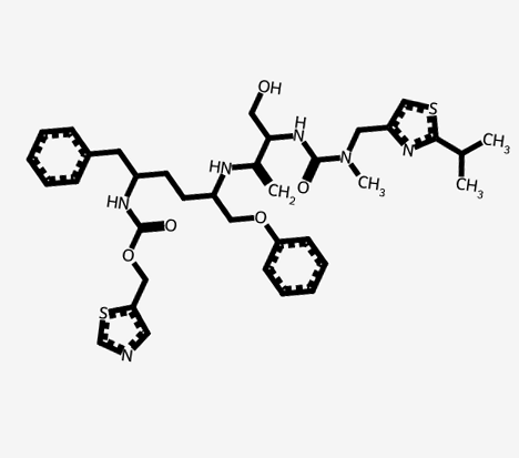 C=C(NC(CCC(Cc1ccccc1)NC(=O)OCc1cncs1)COc1ccccc1)C(CO)NC(=O)N(C)Cc1csc(C(C)C)n1